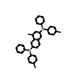 Cc1ccc(N(c2ccccc2)c2cc(C)c3cc(N(c4ccccc4)c4ccc(C)cc4)ccc3c2)cc1